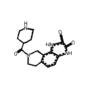 O=C(C1CCNCC1)N1CCc2ccc3[nH]c(=O)c(=O)[nH]c3c2C1